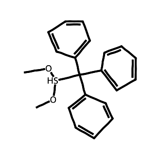 CO[SH](OC)C(c1ccccc1)(c1ccccc1)c1ccccc1